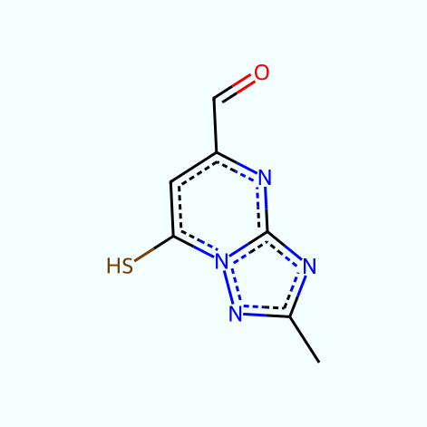 Cc1nc2nc(C=O)cc(S)n2n1